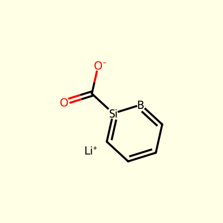 O=C([O-])[si]1bcccc1.[Li+]